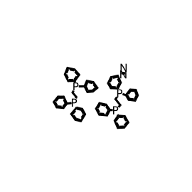 N#N.c1ccc(P(CCP(c2ccccc2)c2ccccc2)c2ccccc2)cc1.c1ccc(P(CCP(c2ccccc2)c2ccccc2)c2ccccc2)cc1